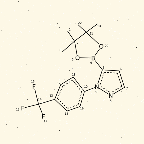 CC1(C)OB(c2ccnn2-c2ccc(C(F)(F)F)cc2)OC1(C)C